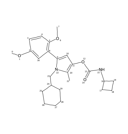 COc1ccc(OC)c(-c2cc(OC(=O)NC3CCC3)c(C)n2CC2CCCCC2)c1